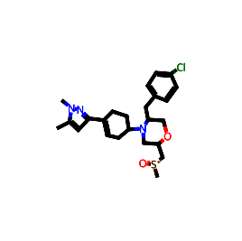 Cc1cc(C2=CCC(N3CC(C[S+](C)[O-])OCC3Cc3ccc(Cl)cc3)CC2)nn1C